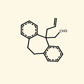 C=CCC1(CC=O)c2ccccc2CCc2ccccc21